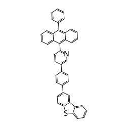 c1ccc(-c2c3ccccc3c(-c3ccc(-c4ccc(-c5ccc6sc7ccccc7c6c5)cc4)cn3)c3ccccc23)cc1